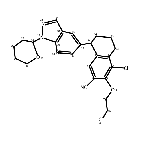 N#Cc1cc2c(c(Cl)c1OCCCl)CCCC2c1cnc2c(cnn2C2CCCCO2)c1